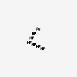 F.F.F.F.F.F.[Pu]